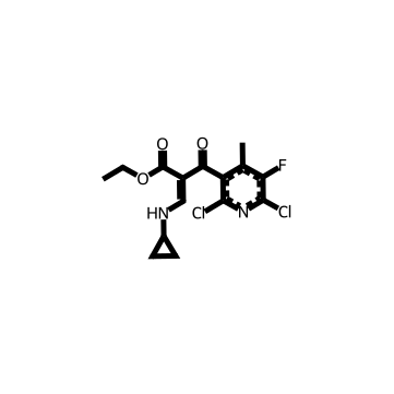 CCOC(=O)C(=CNC1CC1)C(=O)c1c(Cl)nc(Cl)c(F)c1C